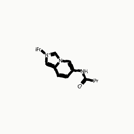 CC(C)C(=O)Nc1ccc2c[n+](C(C)C)cn2c1